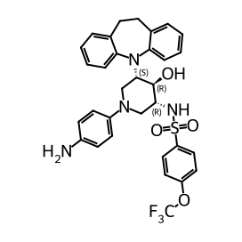 Nc1ccc(N2C[C@@H](NS(=O)(=O)c3ccc(OC(F)(F)F)cc3)[C@H](O)[C@@H](N3c4ccccc4CCc4ccccc43)C2)cc1